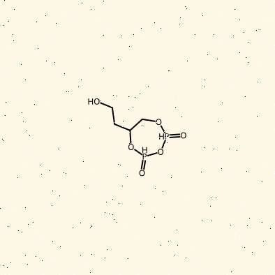 O=[PH]1OCC(CCO)O[PH](=O)O1